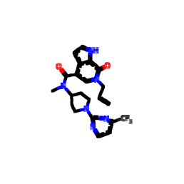 C=CCn1cc(C(=O)N(C)C2CCN(c3nccc(C(F)(F)F)n3)CC2)c2cc[nH]c2c1=O